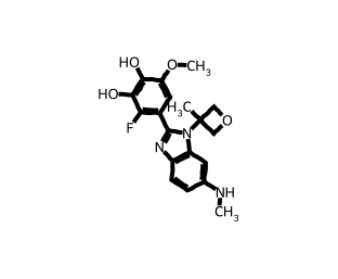 CNc1ccc2nc(-c3cc(OC)c(O)c(O)c3F)n(C3(C)COC3)c2c1